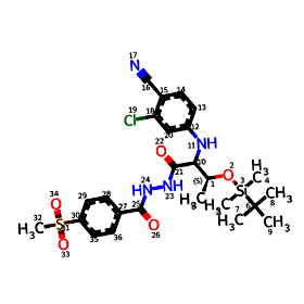 C[C@H](O[Si](C)(C)C(C)(C)C)C(Nc1ccc(C#N)c(Cl)c1)C(=O)NNC(=O)c1ccc(S(C)(=O)=O)cc1